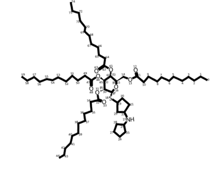 CCCCCCCCCCCC(=O)OC[C@H]1O[C@@H](SC2CCC(NC3CCCC3)C2)[C@H](OC(=O)CCCCCCCCCCC)[C@@H](OC(=O)CCCCCCCCCCC)[C@H]1OC(=O)CCCCCCCCCCC